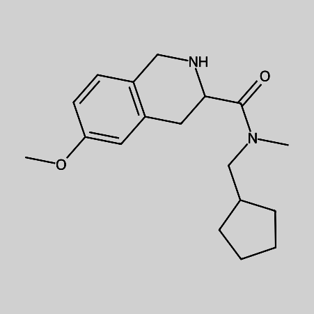 COc1ccc2c(c1)CC(C(=O)N(C)CC1CCCC1)NC2